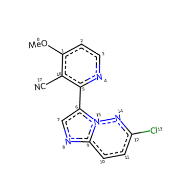 COc1ccnc(-c2cnc3ccc(Cl)nn23)c1C#N